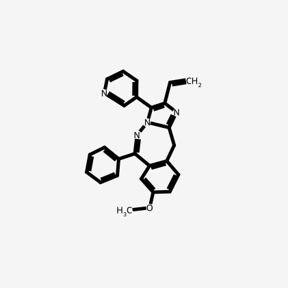 C=Cc1nc2n(c1-c1cccnc1)N=C(c1ccccc1)c1cc(OC)ccc1C2